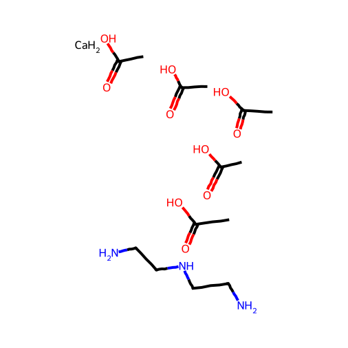 CC(=O)O.CC(=O)O.CC(=O)O.CC(=O)O.CC(=O)O.NCCNCCN.[CaH2]